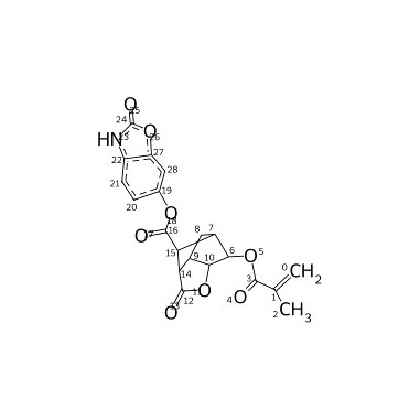 C=C(C)C(=O)OC1C2CC3C1OC(=O)C3C2C(=O)Oc1ccc2[nH]c(=O)oc2c1